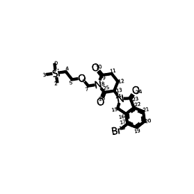 C[Si](C)(C)CCOCN1C(=O)CCC(N2Cc3c(Br)cccc3C2=O)C1=O